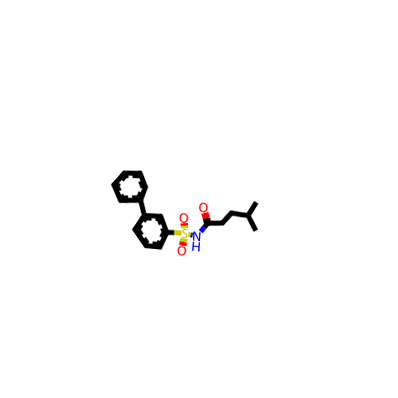 CC(C)CCC(=O)NS(=O)(=O)c1cccc(-c2ccccc2)c1